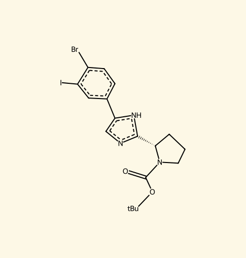 CC(C)(C)OC(=O)N1CCC[C@H]1c1ncc(-c2ccc(Br)c(I)c2)[nH]1